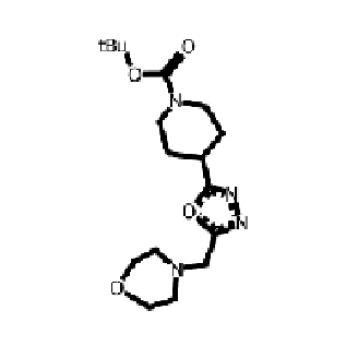 CC(C)(C)OC(=O)N1CCC(c2nnc(CN3CCOCC3)o2)CC1